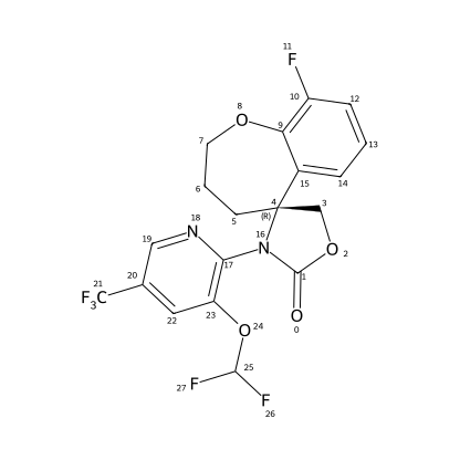 O=C1OC[C@]2(CCCOc3c(F)cccc32)N1c1ncc(C(F)(F)F)cc1OC(F)F